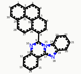 c1cc2ccc3ccc(-c4nc5ccccc5c5nc6ccccc6n45)c4ccc(c1)c2c34